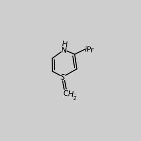 C=S1C=CNC(C(C)C)=C1